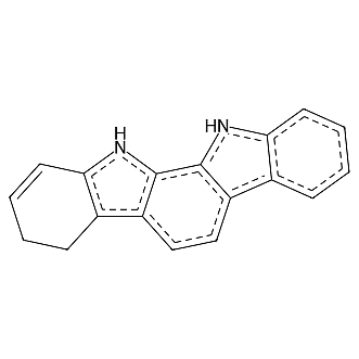 C1=Cc2[nH]c3c(ccc4c5ccccc5[nH]c43)c2CC1